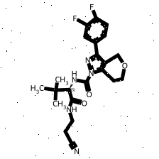 CC(C)(C)[C@H](NC(=O)n1nc(-c2ccc(F)c(F)c2)c2c1CCOC2)C(=O)NCCC#N